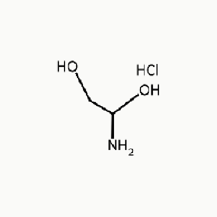 Cl.NC(O)CO